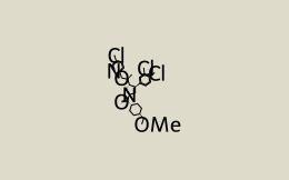 COC[C@H]1CC[C@H](C(=O)N2C[C@H]([C@H](C)Oc3ccc(Cl)cn3)[C@@H](c3ccc(Cl)c(Cl)c3)C2)CC1